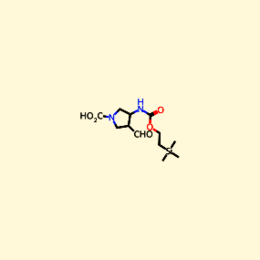 C[Si](C)(C)CCOC(=O)NC1CN(C(=O)O)CC1C=O